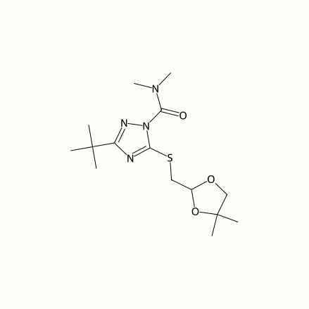 CN(C)C(=O)n1nc(C(C)(C)C)nc1SCC1OCC(C)(C)O1